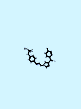 Cc1ccc(C(=O)c2ccn(C/C=C/c3ccc(CC(=O)O)cc3)c2)cc1